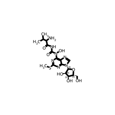 CSc1nc(N(O)C(=O)NC(=O)C(N)C(C)C)c2ncn([C@@H]3O[C@H](CO)[C@@H](O)[C@H]3O)c2n1